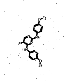 CCOc1ccc(Nc2ncc(F)c(Nc3ccc(OCC)cc3)n2)cc1